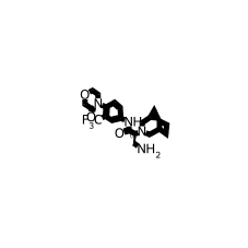 NC[C@@H](C(=O)Nc1ccc(N2CCOCC2=O)c(C(F)(F)F)c1)N(CC1CCC1)CC1CC1